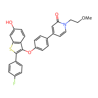 COCCn1ccc(-c2ccc(Oc3c(-c4ccc(F)cc4)sc4cc(O)ccc34)cc2)cc1=O